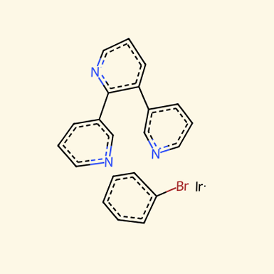 Brc1ccccc1.[Ir].c1cncc(-c2cccnc2-c2cccnc2)c1